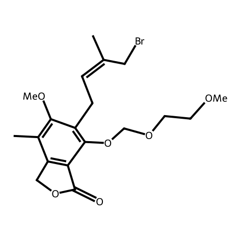 COCCOCOc1c(CC=C(C)CBr)c(OC)c(C)c2c1C(=O)OC2